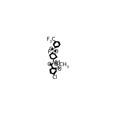 CS(=O)(=O)c1cc(Cl)ccc1C(=O)N[C@H]1CC[C@](F)(S(=O)(=O)c2cccc(C(F)(F)F)c2)CC1